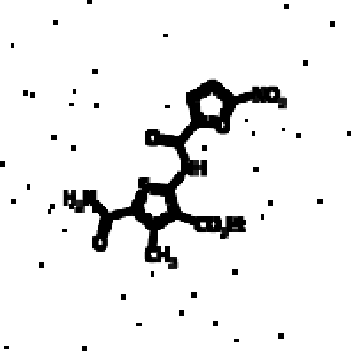 CCOC(=O)c1c(NC(=O)c2ccc([N+](=O)[O-])o2)sc(C(N)=O)c1C